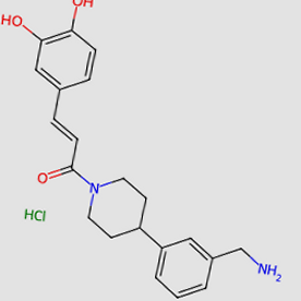 Cl.NCc1cccc(C2CCN(C(=O)C=Cc3ccc(O)c(O)c3)CC2)c1